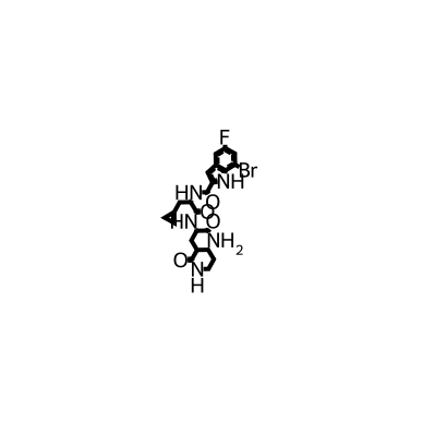 NC(=O)C(CC1CCCNC1=O)NC(=O)C(CC1CC1)NC(=O)c1cc2cc(F)cc(Br)c2[nH]1